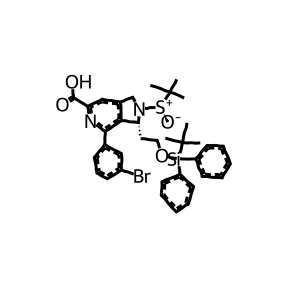 CC(C)(C)[S@@+]([O-])N1Cc2cc(C(=O)O)nc(-c3cccc(Br)c3)c2[C@H]1CCO[Si](c1ccccc1)(c1ccccc1)C(C)(C)C